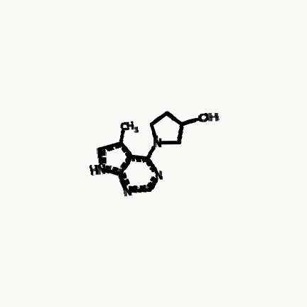 Cc1c[nH]c2ncnc(N3CCC(O)C3)c12